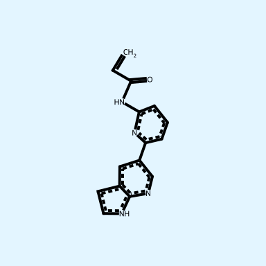 C=CC(=O)Nc1cccc(-c2cnc3[nH]ccc3c2)n1